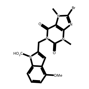 COc1cccc2c1cc(Cn1c(=O)c3c(nc(Br)n3C)n(C)c1=O)n2C(=O)O